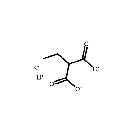 CCC(C(=O)[O-])C(=O)[O-].[K+].[Li+]